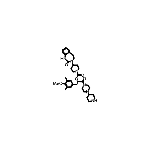 COc1c(C)cc(C[C@@H](OC(=O)N2CCC(N3CCc4ccccc4NC3=O)CC2)C(=O)N2CCN(C3CCNCC3)CC2)cc1C